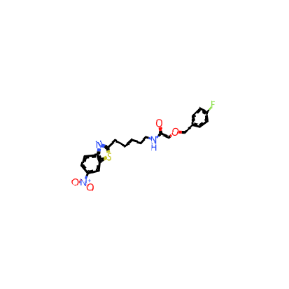 O=C(COCc1ccc(F)cc1)NCCCCCc1nc2ccc([N+](=O)[O-])cc2s1